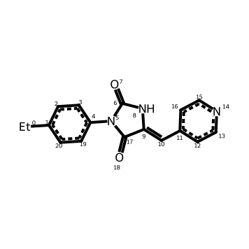 CCc1ccc(N2C(=O)N/C(=C\c3ccncc3)C2=O)cc1